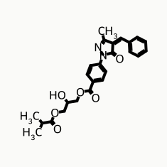 CC1=NN(c2ccc(C(=O)OCC(O)COC(=O)C(C)C)cc2)C(=O)/C1=C\c1ccccc1